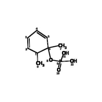 CC1C=CC=CC1(C)OP(=O)(O)O